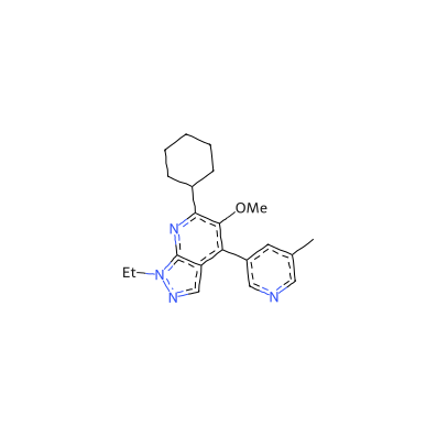 CCn1ncc2c(-c3cncc(C)c3)c(OC)c(C3CCCCC3)nc21